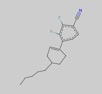 CCCCCC1CC=C(c2ccc(C#N)c(F)c2F)CC1